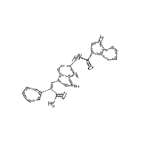 O=C(O)C(=Cc1c[nH]c2nc(NC(=O)c3c[nH]c4ccccc34)ccc12)c1ccccc1